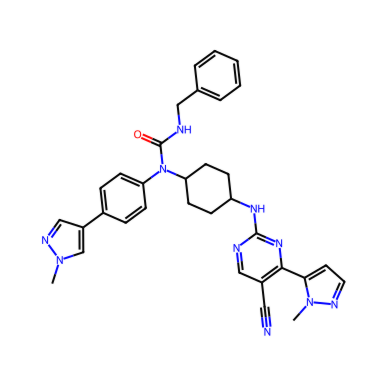 Cn1cc(-c2ccc(N(C(=O)NCc3ccccc3)C3CCC(Nc4ncc(C#N)c(-c5ccnn5C)n4)CC3)cc2)cn1